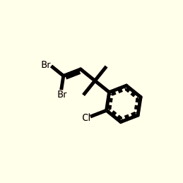 CC(C)(C=C(Br)Br)c1ccccc1Cl